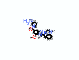 COc1cc(C(=O)N2CCC[C@@H](N)C2)cc2nc(-c3cc4cccc5c4n3CCN5C)n(C)c12